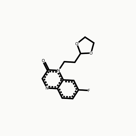 O=c1cnc2ccc(F)cc2n1CCC1OCCO1